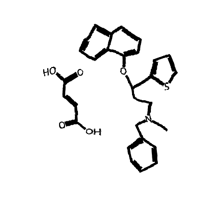 CN(CCC(Oc1cccc2ccccc12)c1cccs1)Cc1ccccc1.O=C(O)C=CC(=O)O